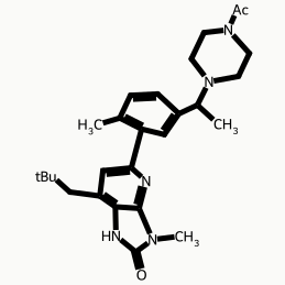 CC(=O)N1CCN(C(C)c2ccc(C)c(-c3cc(CC(C)(C)C)c4[nH]c(=O)n(C)c4n3)c2)CC1